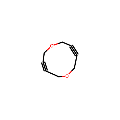 C1#CCOCC#CCOC1